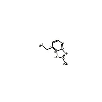 CC(C)Cc1cccc2nc(C#N)oc12